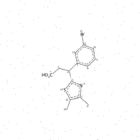 Cc1nc(C(CC(=O)O)c2cccc(Br)c2)sc1C